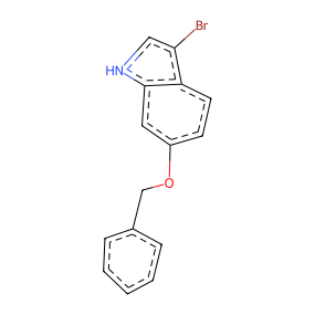 Brc1c[nH]c2cc(OCc3ccccc3)ccc12